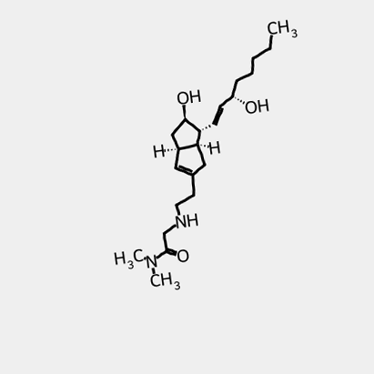 CCCCC[C@H](O)/C=C/[C@@H]1[C@H]2CC(CCNCC(=O)N(C)C)=C[C@H]2C[C@H]1O